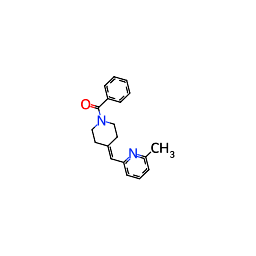 Cc1cccc(C=C2CCN(C(=O)c3ccccc3)CC2)n1